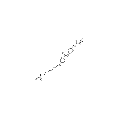 C=CC(=O)OCCCCCCCCOc1ccc(C(=O)Oc2ccc(/C=C/C(=O)OC(C)(C)C)cc2C)cc1